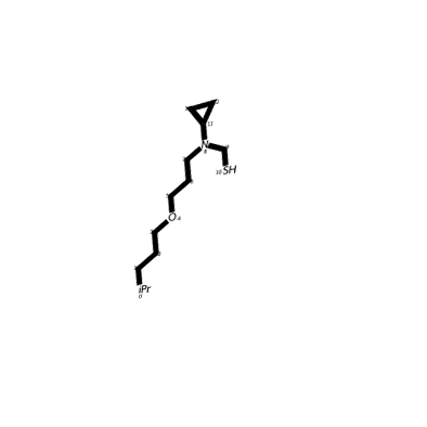 CC(C)CCCOCCCN(CS)C1CC1